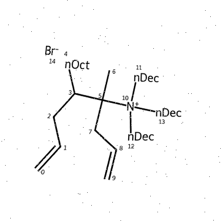 C=CCC(CCCCCCCC)C(C)(CC=C)[N+](CCCCCCCCCC)(CCCCCCCCCC)CCCCCCCCCC.[Br-]